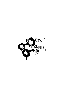 Cc1cccc(CNS(N)(=O)=O)c1.O=C(O)c1cnc(-c2ccccn2)nc1